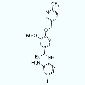 CCC(Nc1ncc(I)cc1N)c1ccc(OCc2ccc(C(F)(F)F)nc2)c(OC)c1